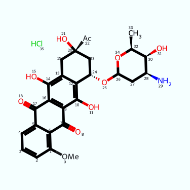 COc1cccc2c1C(=O)c1c(O)c3c(c(O)c1C2=O)C[C@@](O)(C(C)=O)C[C@@H]3OC1C[C@H](N)[C@H](O)[C@H](C)O1.Cl